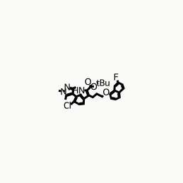 Cc1nn(C)c(C)c1-c1c(Cl)ccc2c(CCCOc3cccc4ccc(F)cc34)c(C(=O)OC(C)(C)C)[nH]c12